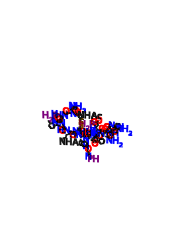 CC(=O)NCCCC[C@@H]1NC(=O)[C@H](Cc2c[nH]c3c(C)cccc23)NC(=O)[C@H]([C@@H](C)OP)NC(=O)[C@H](CC(N)=O)NC(=O)[C@@H](NC(C)=O)C(C)(C)SSC(C)(C)[C@@H](C(=O)N[C@@H](Cc2ccc(OCCN=P)cc2)C(=O)N[C@@H](Cc2ccc3ccccc3c2)C(=O)NC2(C(=O)N[C@@H](CCC(=O)OP)C(=O)N[C@@H](CC(N)=O)C(=O)N[C@@H](Cc3cccnc3)C(=O)N(C)CC(N)=O)CCOCC2)NC1=O